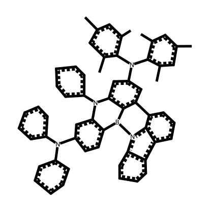 Cc1cc(C)c(N(c2cc3c4c(c2)N(c2ccccc2)c2cc(N(c5ccccc5)c5ccccc5)ccc2B4n2c4ccccc4c4cccc-3c42)c2c(C)cc(C)cc2C)c(C)c1